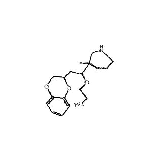 CC1(C(CC2COc3ccccc3O2)OCCO)CCCNC1